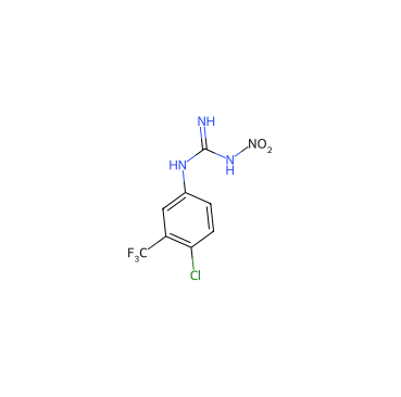 N=C(Nc1ccc(Cl)c(C(F)(F)F)c1)N[N+](=O)[O-]